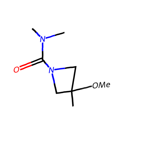 COC1(C)CN(C(=O)N(C)C)C1